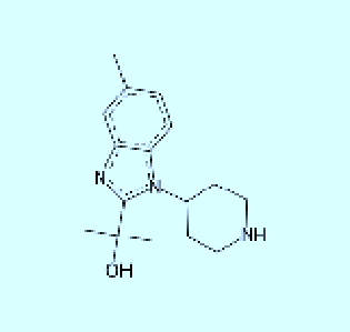 Cc1ccc2c(c1)nc(C(C)(C)O)n2C1CCNCC1